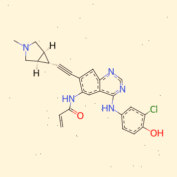 C=CC(=O)Nc1cc2c(Nc3ccc(O)c(Cl)c3)ncnc2cc1C#C[C@@H]1[C@H]2CN(C)C[C@@H]12